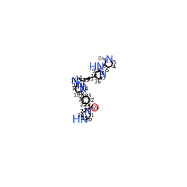 Cc1ncccc1Nc1cc(C#Cc2cnc3ccc(-c4ccc(C(=O)N5CCNCC5)cc4)nn23)ccn1